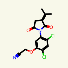 CC(C)=C1CC(=O)N(c2cc(OCC#N)c(Cl)cc2Cl)C1=O